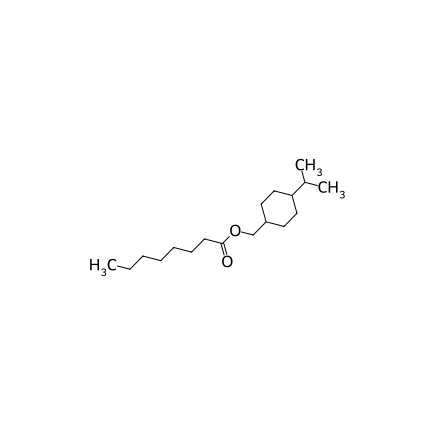 CCCCCCCC(=O)OCC1CCC(C(C)C)CC1